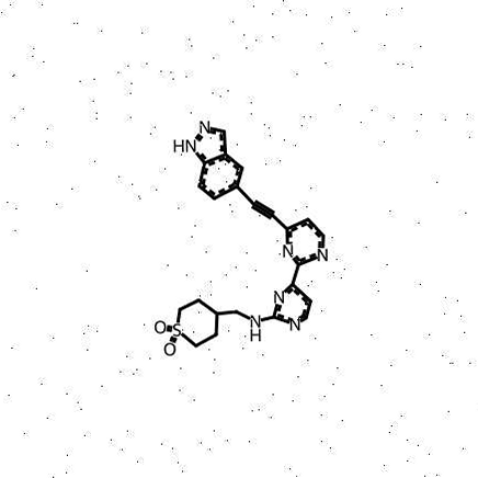 O=S1(=O)CCC(CNc2nccc(-c3nccc(C#Cc4ccc5[nH]ncc5c4)n3)n2)CC1